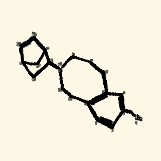 CC(C)(C)c1ccc2c(c1)CCCN(C1CC3CCC1C3)CC2